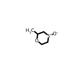 CC1C[S+]([O-])CCO1